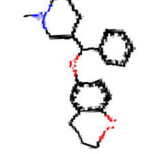 CN1CCCC(C(Oc2ccc3c(c2)CCCO3)c2ccccc2)C1